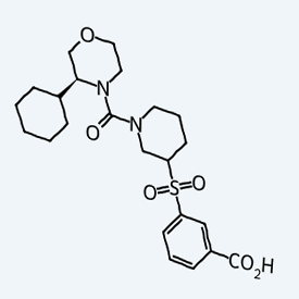 O=C(O)c1cccc(S(=O)(=O)C2CCCN(C(=O)N3CCOC[C@@H]3C3CCCCC3)C2)c1